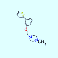 CN1CCN(CCOc2cccc(-c3cc[c]s3)c2)CC1